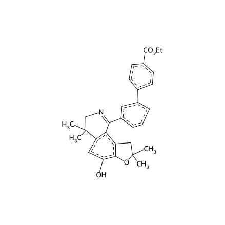 CCOC(=O)c1ccc(-c2cccc(C3=NCC(C)(C)c4cc(O)c5c(c43)CC(C)(C)O5)c2)cc1